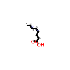 C/C=C/C=C\CCC(=O)O